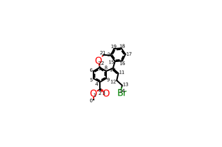 COC(=O)c1ccc2c(c1)C(=CCCBr)c1ccccc1CO2